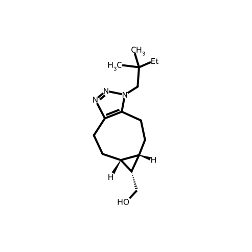 CCC(C)(C)Cn1nnc2c1CC[C@@H]1[C@H](CO)[C@@H]1CC2